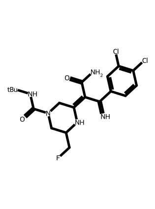 CC(C)(C)NC(=O)N1C/C(=C(/C(=N)c2ccc(Cl)c(Cl)c2)C(N)=O)NC(CF)C1